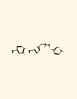 COc1ccc(NC(=O)C(C)(C)Cc2ccc(C(=O)Oc3ccc(C(=N)N)cc3F)s2)cn1